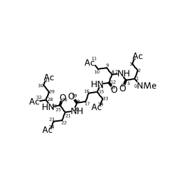 CNC(CCC(C)=O)C(=O)NC(CCC(C)=O)C(=O)NC(CCC(=O)NC(CCC(C)=O)C(=O)NC(CCC(C)=O)C(C)=O)CC(C)=O